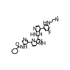 CN(C)CCNc1cc(F)cc(-c2ccnc3[nH]c(-c4n[nH]c5ccc(-c6cncc(NC(=O)C7CCCCC7)c6)nc45)nc23)c1